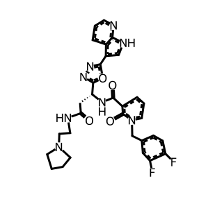 O=C(C[C@@H](NC(=O)c1cccn(Cc2ccc(F)c(F)c2)c1=O)c1nnc(-c2c[nH]c3ncccc23)o1)NCCN1CCCC1